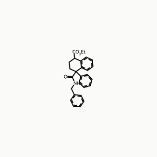 CCOC(=O)C1CCC(C(=O)NCc2ccccc2)(c2ccccc2)c2ccccc21